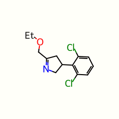 CCOCC1=NCC(c2c(Cl)cccc2Cl)C1